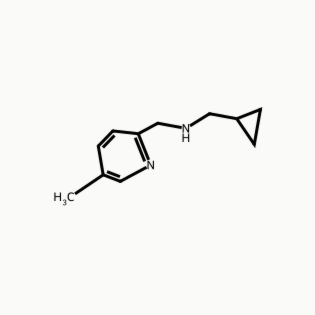 Cc1ccc(CNCC2CC2)nc1